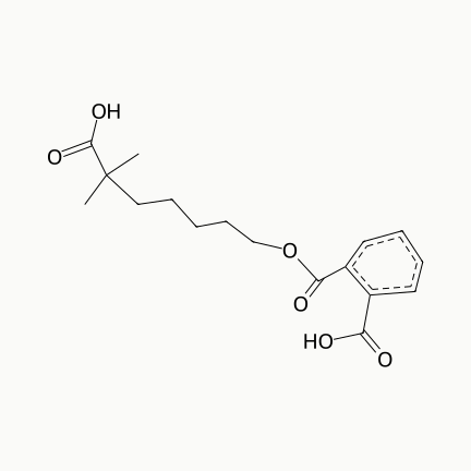 CC(C)(CCCCCOC(=O)c1ccccc1C(=O)O)C(=O)O